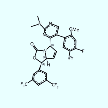 COc1cc(F)c(C(C)C)cc1-c1cnc(N(C)C)nc1[C@@H]1C=C[C@H]2[C@@H](c3cc(C(F)(F)F)cc(C(F)(F)F)c3)OC(=O)N12